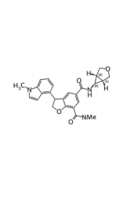 CNC(=O)c1cc(C(=O)N[C@H]2[C@@H]3COC[C@@H]32)cc2c1OCC2c1cccc2c1ccn2C